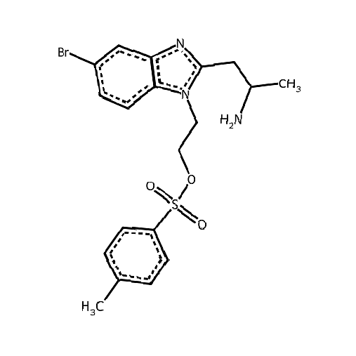 Cc1ccc(S(=O)(=O)OCCn2c(CC(C)N)nc3cc(Br)ccc32)cc1